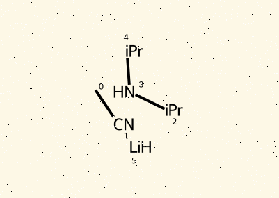 CC#N.CC(C)NC(C)C.[LiH]